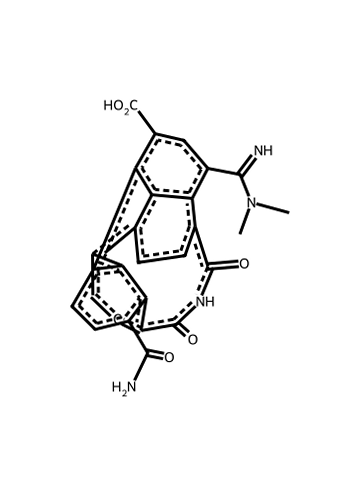 CN(C)C(=N)c1cc(C(=O)O)c2c3ccc(C(N)=O)c4c5ccc(c6ccc(c(=O)[nH]c5=O)c1c62)c34